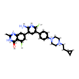 Cc1nc2cc(-c3cc(-c4ccc(N5CCN(CCC6CC6)CC5)cc4)c(F)nc3N)cc(F)c2c(=O)[nH]1